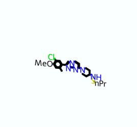 CCCSNC1CCN(c2ccn3cc(-c4cc(Cl)c(OC)cc4C)nc3n2)CC1